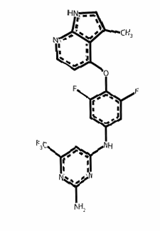 Cc1c[nH]c2nccc(Oc3c(F)cc(Nc4cc(C(F)(F)F)nc(N)n4)cc3F)c12